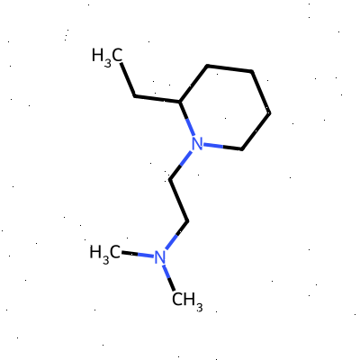 CCC1CCCCN1CCN(C)C